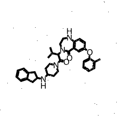 Cc1ccccc1Oc1ccc2c(c1)C(=O)N(C(C(=O)N1CCC(NC3Cc4ccccc4C3)CC1)C(C)C)CCN2